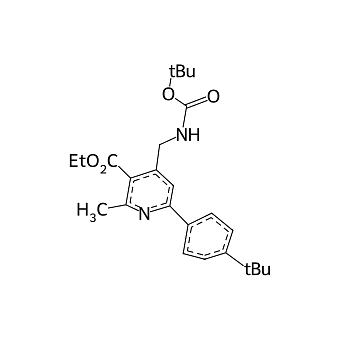 CCOC(=O)c1c(CNC(=O)OC(C)(C)C)cc(-c2ccc(C(C)(C)C)cc2)nc1C